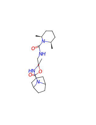 CCOC(=O)N1C2CCC1CC(NCCNC(=O)N1[C@H](C)CCC[C@@H]1C)C2